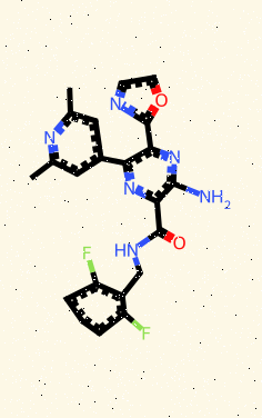 Cc1cc(-c2nc(C(=O)NCc3c(F)cccc3F)c(N)nc2-c2ncco2)cc(C)n1